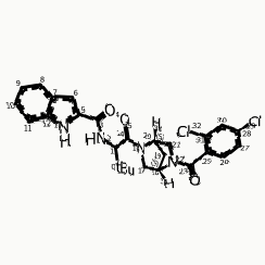 CC(C)(C)C(NC(=O)c1cc2ccccc2[nH]1)C(=O)N1C[C@@H]2C[C@H]1CN2C(=O)c1ccc(Cl)cc1Cl